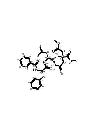 COC(=O)C[C@@]1(C(=O)OC)CC(=O)OB([C@H](CC(C)C)NC(=O)[C@H](Cc2ccccc2)NC(=O)c2cnccn2)O1